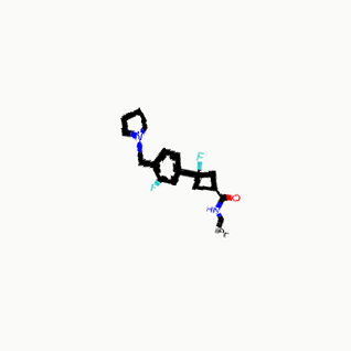 CC(C)CNC(=O)[C@H]1C[C@](F)(c2ccc(CN3CCCC3)c(F)c2)C1